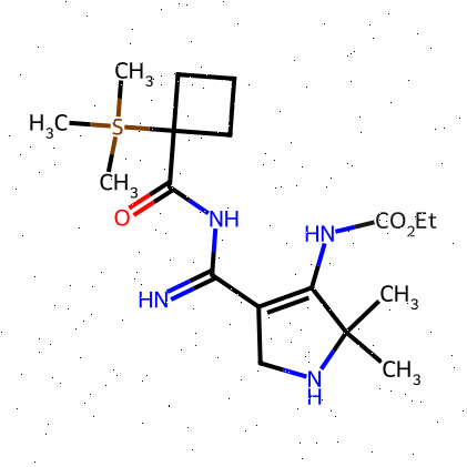 CCOC(=O)NC1=C(C(=N)NC(=O)C2(S(C)(C)C)CCC2)CNC1(C)C